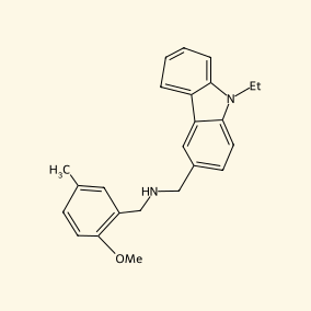 CCn1c2ccccc2c2cc(CNCc3cc(C)ccc3OC)ccc21